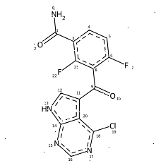 NC(=O)c1ccc(F)c(C(=O)c2c[nH]c3ncnc(Cl)c23)c1F